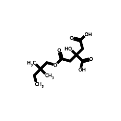 CCC(C)(C)COC(=O)CC(O)(CC(=O)O)C(=O)O